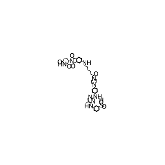 Cc1cnc(Nc2ccc(N3CCN(C(=O)CCCCCNc4ccc5c(c4)C(=O)N(C4CCC(=O)NC4=O)C5=O)CC3)cc2)nc1Nc1cccc([SH](=O)=O)c1